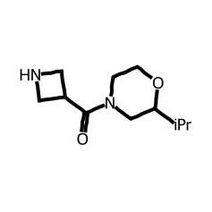 CC(C)C1CN(C(=O)C2CNC2)CCO1